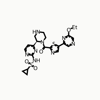 CCOc1cncc(-c2cnc(C(=O)N3CCNC[C@@H]3c3ccnc(NS(=O)(=O)C4CC4)n3)s2)n1